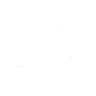 COc1ccc(CCc2cc3c(s2)NC(=S)CN=C3c2ccccc2Cl)cc1